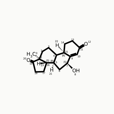 C[C@]12CCC3[C@@H](C[C@H](O)C4=CC(=O)CC[C@@H]43)[C@@H]1CCC2=O